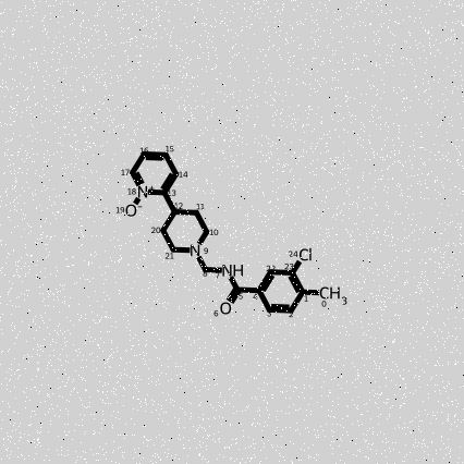 Cc1ccc(C(=O)NCN2CCC(c3cccc[n+]3[O-])CC2)cc1Cl